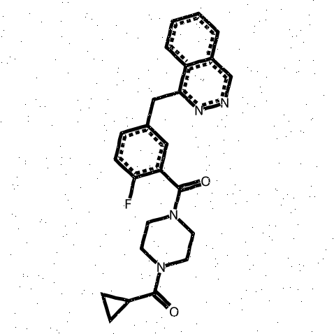 O=C(c1cc(Cc2nncc3ccccc23)ccc1F)N1CCN(C(=O)C2CC2)CC1